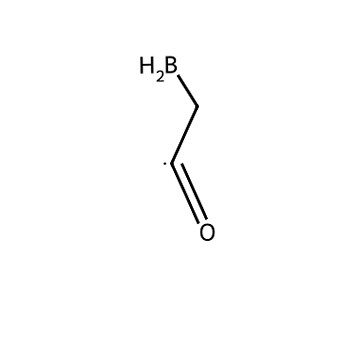 BC[C]=O